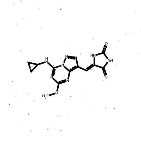 COc1nc(NC2CC2)n2ncc(/C=C3\NC(=O)NC3=O)c2n1